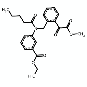 CCCCC(=O)N(Cc1ccccc1C(=O)C(=O)OC)c1cccc(C(=O)OCC)c1